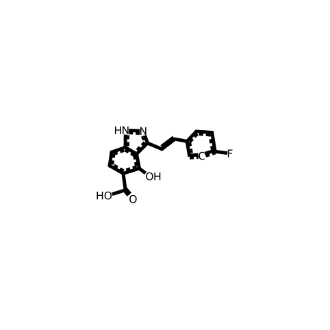 O=C(O)c1ccc2[nH]nc(C=Cc3ccc(F)cc3)c2c1O